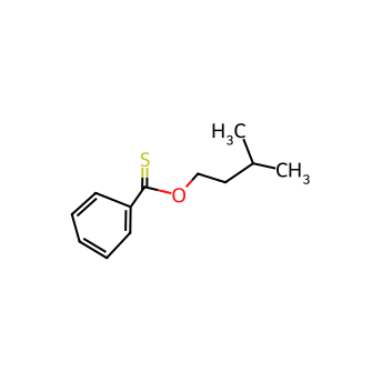 CC(C)CCOC(=S)c1ccccc1